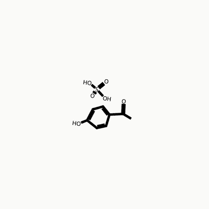 CC(=O)c1ccc(O)cc1.O=S(=O)(O)O